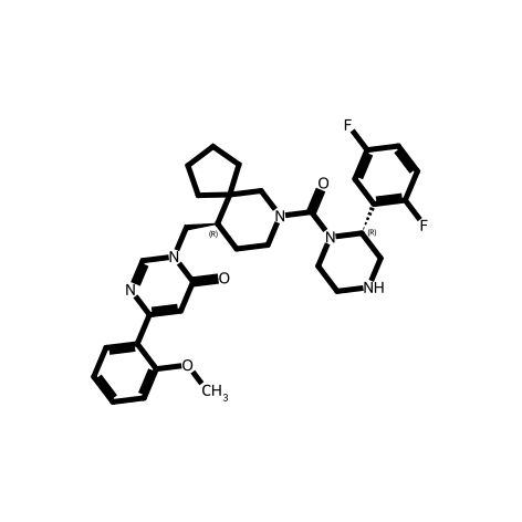 COc1ccccc1-c1cc(=O)n(C[C@@H]2CCN(C(=O)N3CCNC[C@H]3c3cc(F)ccc3F)CC23CCCC3)cn1